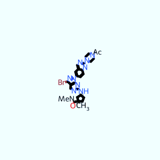 CNC(=O)[C@]1(C)CC[C@@H](Nc2ncc3c(Br)nn(-c4ccc5nc(N6CCN(C(C)=O)CC6)ncc5c4)c3n2)C1